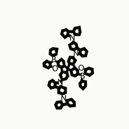 c1ccc(B2c3ccccc3Oc3c2ccc2c3-c3cc(-n4c5ccccc5c5cc(-n6c7ccccc7c7ccccc76)ccc54)ccc3C23c2ccc(-n4c5ccccc5c5cc(-n6c7ccccc7c7ccccc76)ccc54)cc2-c2c3ccc3c2Oc2ccccc2B3c2ccccc2)cc1